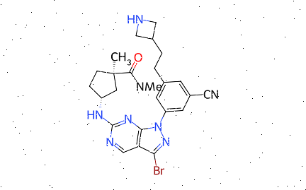 CNC(=O)[C@]1(C)CC[C@@H](Nc2ncc3c(Br)nn(-c4cc(C#N)cc(CCC5CNC5)c4)c3n2)C1